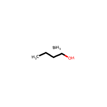 CCCCO.[BiH3]